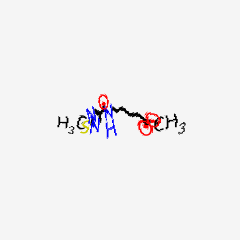 COC(=O)CCCCCNC(=O)c1cnc(SC)nc1